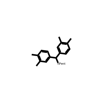 CCCCCC(c1ccc(C)c(C)c1)c1ccc(C)c(C)c1